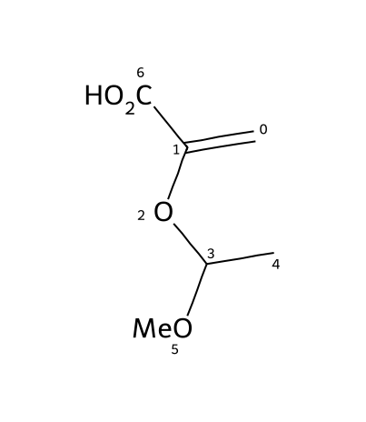 C=C(OC(C)OC)C(=O)O